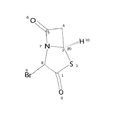 O=C1S[C@@H]2CC(=O)N2C1Br